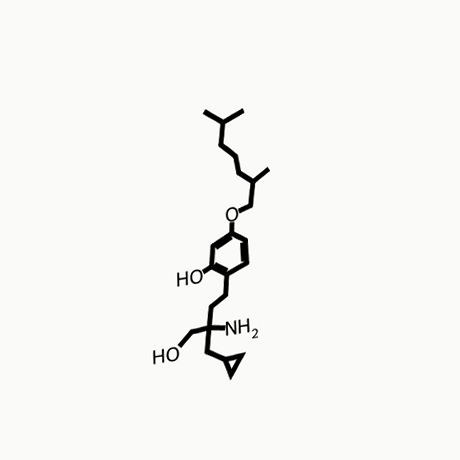 CC(C)CCCC(C)COc1ccc(CCC(N)(CO)CC2CC2)c(O)c1